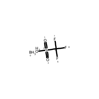 B.O=S(=O)(O)C(F)(F)F